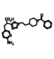 Nc1ccc(CC(C(=O)O)c2cn(CCC3CCN(C(=O)c4ccccc4)CC3)cn2)cn1